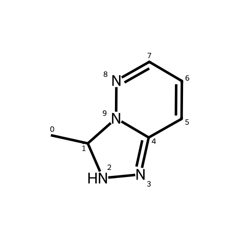 C[C]1NN=C2C=CC=NN12